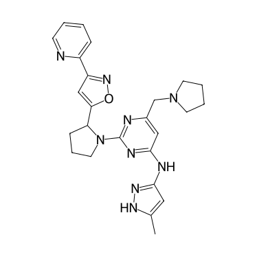 Cc1cc(Nc2cc(CN3CCCC3)nc(N3CCCC3c3cc(-c4ccccn4)no3)n2)n[nH]1